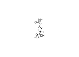 CC(C)(C)OC(O)C(C)(C)CCCC([NH])=O